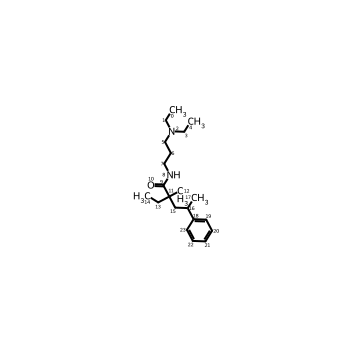 CCN(CC)CCCNC(=O)C(C)(CC)CC(C)c1ccccc1